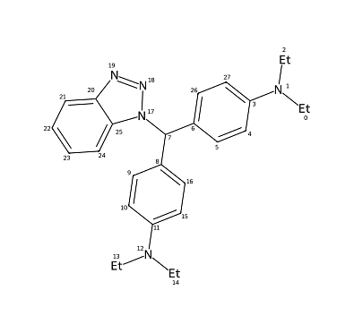 CCN(CC)c1ccc(C(c2ccc(N(CC)CC)cc2)n2nnc3ccccc32)cc1